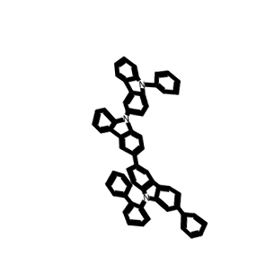 c1ccc(-c2ccc3c4cc(-c5ccc6c(c5)c5ccccc5n6-c5ccc6c(c5)c5ccccc5n6-c5ccccc5)ccc4n(-c4ccccc4-c4ccccc4)c3c2)cc1